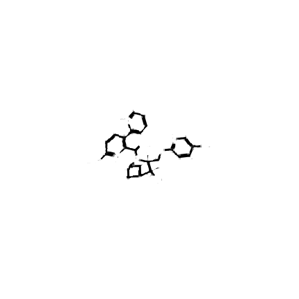 Cc1ccc(-c2ccccn2)c(C(=O)N2C3CC(C3)[C@@H](C)[C@H]2COc2ccc(F)cn2)n1